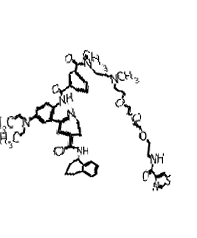 CCN(CC)c1ccc(NC(=O)c2cccc(C(=O)N(C)CCN(C)CCOCCOCCOCCNC(=O)c3cscn3)c2)c(-c2cc(C(=O)N[C@H]3CCCc4ccccc43)ccn2)c1